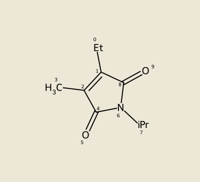 CCC1=C(C)C(=O)N(C(C)C)C1=O